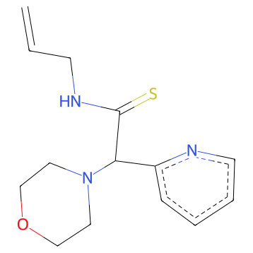 C=CCNC(=S)C(c1ccccn1)N1CCOCC1